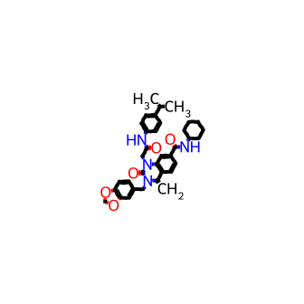 C=C1c2ccc(C(=O)NC3CCCCC3)cc2N(CC(=O)Nc2ccc(C(C)C)cc2)C(=O)N1Cc1ccc2c(c1)OCO2